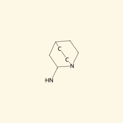 [NH][C]1CC2CCN1CC2